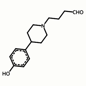 O=CCCCN1CCC(c2ccc(O)cc2)CC1